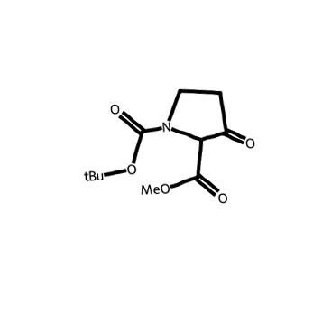 COC(=O)C1C(=O)CCN1C(=O)OC(C)(C)C